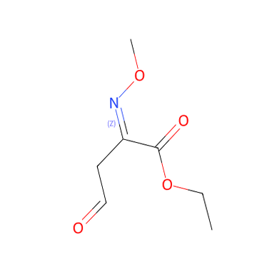 CCOC(=O)/C(CC=O)=N\OC